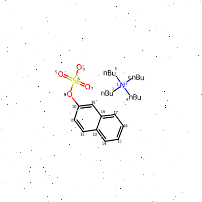 CCCC[N+](CCCC)(CCCC)CCCC.O=S(=O)([O-])Oc1ccc2ccccc2c1